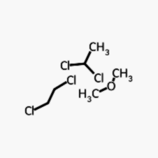 CC(Cl)Cl.COC.ClCCCl